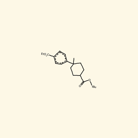 CCOC(=O)c1ccc(C2(C)CCC(C(=O)OC(C)(C)C)CC2)cc1